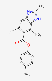 O=C(Oc1ccc([N+](=O)[O-])cc1)c1c(C(F)(F)F)cc2nc(C(F)(F)F)[nH]c2c1[N+](=O)[O-]